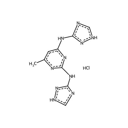 Cc1cc(Nc2nc[nH]n2)nc(Nc2nc[nH]n2)n1.Cl